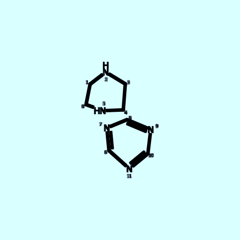 C1CNCCN1.c1ncncn1